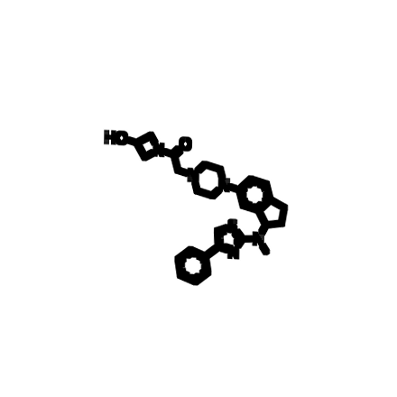 CN(c1nc(-c2ccccc2)cs1)C1CCc2ccc(N3CCN(CC(=O)N4CC(O)C4)CC3)cc21